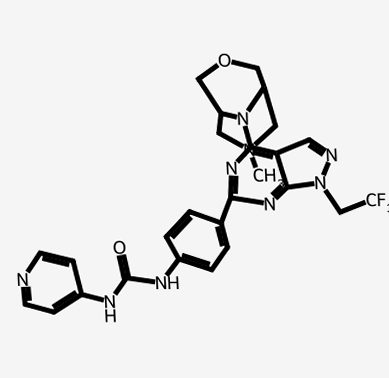 CN1CC2COCC(C1)N2c1nc(-c2ccc(NC(=O)Nc3ccncc3)cc2)nc2c1cnn2CC(F)(F)F